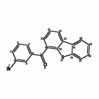 O=C(c1cccc(Br)c1)c1cccc2c1sc1ccccc12